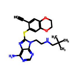 C#Cc1cc2c(cc1Sc1nc3c(N)ncnc3n1CCNCC(C)(C)C)OCCO2